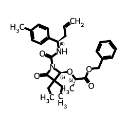 C=CC[C@@H](NC(=O)N1C(=O)C(CC)(CC)[C@@H]1O[C@@H](C)C(=O)OCc1ccccc1)c1ccc(C)cc1